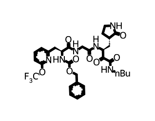 CCCCNC(=O)C(=O)[C@H](C[C@@H]1CCNC1=O)NC(=O)CNC(=O)[C@H](Cc1cccc(OC(F)(F)F)n1)NC(=O)OCc1ccccc1